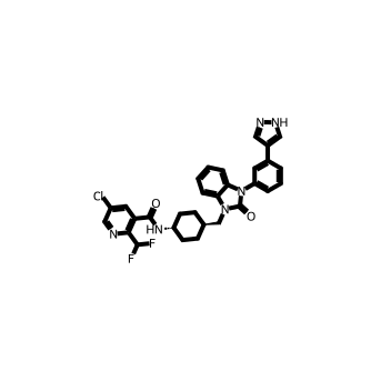 O=C(N[C@H]1CC[C@H](Cn2c(=O)n(-c3cccc(-c4cn[nH]c4)c3)c3ccccc32)CC1)c1cc(Cl)cnc1C(F)F